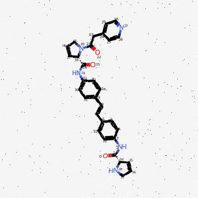 O=C(Nc1ccc(/C=C/c2ccc(NC(=O)[C@@H]3C=CCN3C(=O)Cc3ccncc3)cc2)cc1)[C@@H]1C=CCN1